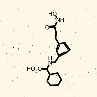 O=C(CCc1cccc(CNC(C(=O)O)C2CCCCC2)c1)NO